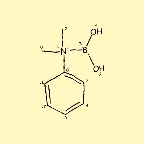 C[N+](C)(B(O)O)c1ccccc1